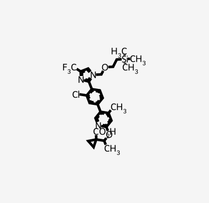 Cc1cc(OC(C)C2(C(=O)O)CC2)ncc1-c1ccc(-c2nc(C(F)(F)F)cn2COCC[Si](C)(C)C)c(Cl)c1